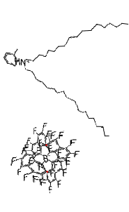 CCCCCCCCCCCCCCCCCC[NH+](CCCCCCCCCCCCCCCCCC)c1ccccc1C.Fc1c(F)c(F)c2c([B-](c3c(F)c(F)c(F)c4c(F)c(F)c(F)c(F)c34)(c3c(F)c(F)c(F)c4c(F)c(F)c(F)c(F)c34)c3c(F)c(F)c(F)c4c(F)c(F)c(F)c(F)c34)c(F)c(F)c(F)c2c1F